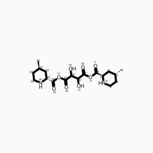 C[C@@H]1CCN[C@@H](C(=O)OC(=O)C(O)C(O)C(=O)OC(=O)[C@H]2C[C@H](C)CCN2)C1